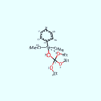 CCOC(OCC)(OCC)O[Si](OC)(OC)c1ccccc1